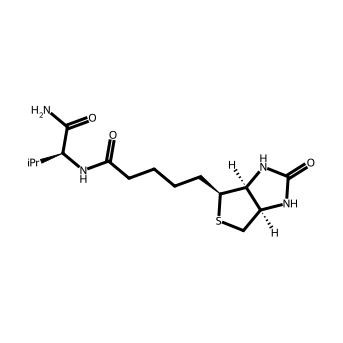 CC(C)[C@H](NC(=O)CCCC[C@@H]1SC[C@@H]2NC(=O)N[C@@H]21)C(N)=O